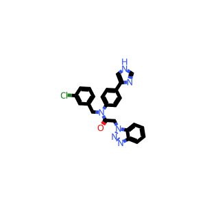 O=C(Cn1nnc2ccccc21)N(Cc1cccc(Cl)c1)c1ccc(-c2c[nH]cn2)cc1